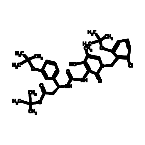 Cc1cn(Cc2c(Cl)cccc2OC(C)(C)C)c(=O)c(NC(=O)N[C@@H](CC(=O)OC(C)(C)C)c2cccc(OC(C)(C)C)c2)c1O